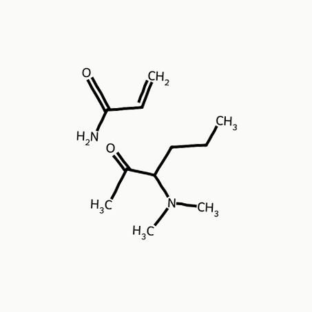 C=CC(N)=O.CCCC(C(C)=O)N(C)C